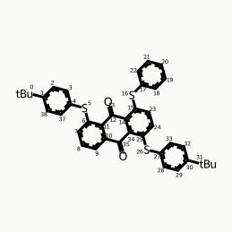 CC(C)(C)c1ccc(Sc2cccc3c2C(=O)c2c(Sc4ccccc4)ccc(Sc4ccc(C(C)(C)C)cc4)c2C3=O)cc1